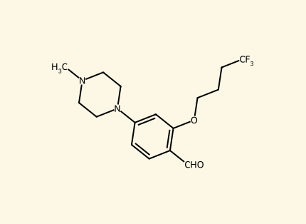 CN1CCN(c2ccc(C=O)c(OCCCC(F)(F)F)c2)CC1